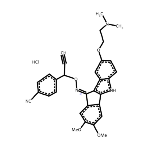 C#CC(O/N=C1/c2cc(OC)c(OC)cc2-c2[nH]c3ccc(OCCN(C)C)cc3c21)c1ccc(C#N)cc1.Cl